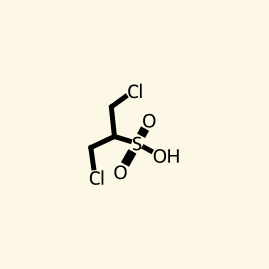 O=S(=O)(O)C(CCl)CCl